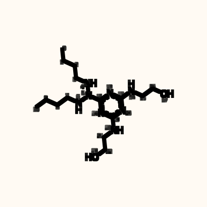 CCCCNN(NCCCC)c1nc(NCCO)nc(NCCO)n1